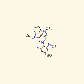 C=Nc1cc(C=O)cc(CC)c1N(Cc1cnn(C)c1)Cc1cc2ccccc2n1CC1CC1